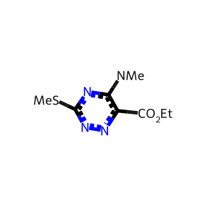 CCOC(=O)c1nnc(SC)nc1NC